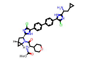 COC(=O)N[C@H](C(=O)N1[C@@H]2C[C@@H]2C[C@H]1c1nc(Cl)c(-c2ccc(-c3ccc(-c4[nH]c([C@@H](N)CC5CC5)nc4Cl)cc3)cc2)[nH]1)C1CCOCC1